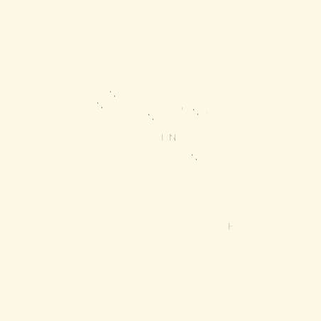 Cn1cc2c(n1)CN(C(=O)Nc1nc(-c3ccc(F)cc3)ccc1[N+](=O)[O-])C2